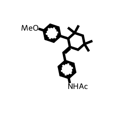 COc1ccc(C2C(=Cc3ccc(NC(C)=O)cc3)CC(C)(C)CC2(C)C)cc1